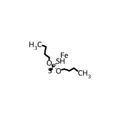 CCCCOP(=S)(S)OCCCC.[Fe]